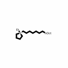 CCCCCCCCCCCCCCC[N+]1(CC)CCCC1